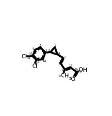 CC(C=CC1CC1c1ccc(Cl)c(Cl)c1)=CC(=O)O